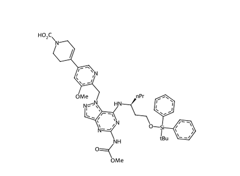 CCC[C@@H](CCO[Si](c1ccccc1)(c1ccccc1)C(C)(C)C)Nc1nc(NC(=O)OC)nc2cnn(Cc3ncc(C4=CCN(C(=O)O)CC4)cc3OC)c12